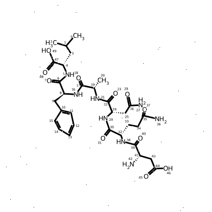 CC(C)C[C@H](NC(=O)[C@H](Cc1ccccc1)NC(=O)[C@H](C)NC(=O)[C@H](CC(N)=O)NC(=O)[C@H](CCC(N)=O)NC(=O)[C@@H](N)CC(=O)O)C(=O)O